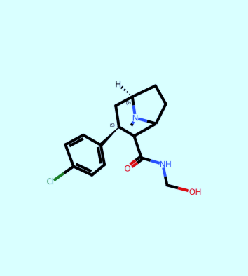 CN1C2CC[C@@H]1C[C@H](c1ccc(Cl)cc1)C2C(=O)NCO